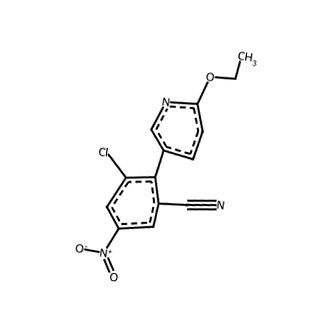 CCOc1ccc(-c2c(Cl)cc([N+](=O)[O-])cc2C#N)cn1